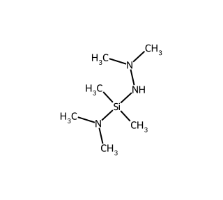 CN(C)N[Si](C)(C)N(C)C